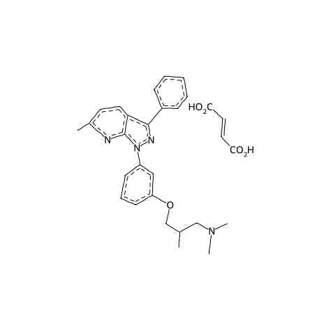 Cc1ccc2c(-c3ccccc3)nn(-c3cccc(OCC(C)CN(C)C)c3)c2n1.O=C(O)C=CC(=O)O